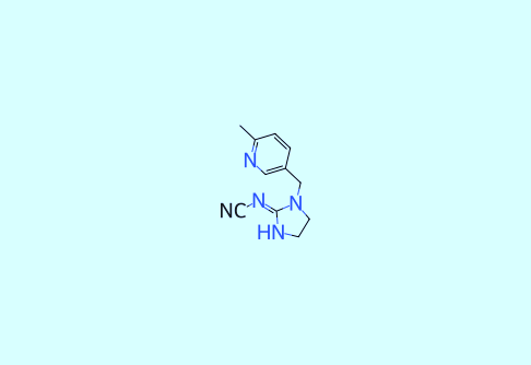 Cc1ccc(CN2CCN/C2=N\C#N)cn1